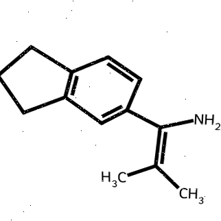 CC(C)=C(N)c1ccc2c(c1)CCC2